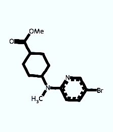 COC(=O)C1CCC(N(C)c2ccc(Br)cn2)CC1